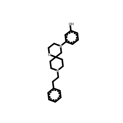 Oc1cccc(N2CCOC3(CCN(CCc4ccccc4)CC3)C2)c1